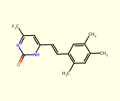 Cc1cc(C)c(C=Cc2cc(C(F)(F)F)nc(=O)[nH]2)cc1C